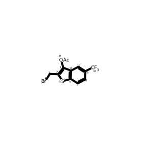 CC(=O)Oc1c(CBr)sc2ccc(C(F)(F)F)cc12